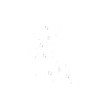 c1ccc(N2c3ccccc3B3c4cc5c6ccc7c(c6n6c8ccccc8c(c4N(c4ccccc4)c4cccc2c43)c56)N(c2ccccc2)c2cccc3c2B7c2ccccc2N3c2ccccc2)cc1